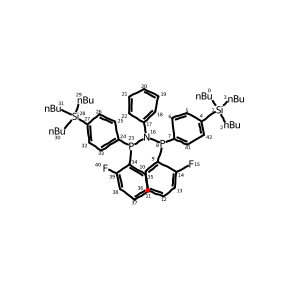 CCCC[Si](CCCC)(CCCC)c1ccc(P(c2ccccc2F)N(c2ccccc2)P(c2ccc([Si](CCCC)(CCCC)CCCC)cc2)c2ccccc2F)cc1